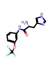 N[C@H](Cc1c[nH]cn1)C(=O)Nc1cccc(OC(F)(F)F)c1